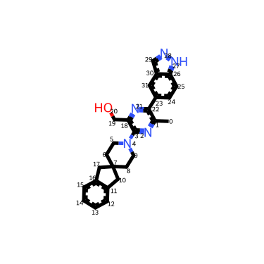 Cc1nc(N2CCC3(CC2)Cc2ccccc2C3)c(CO)nc1-c1ccc2[nH]ncc2c1